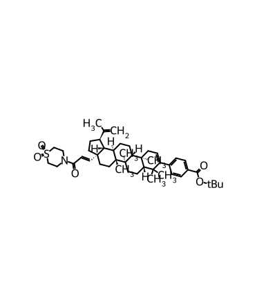 C=C(C)[C@@H]1CC[C@]2(/C=C/C(=O)N3CCS(=O)(=O)CC3)CC[C@]3(C)[C@H](CC[C@@H]4[C@@]5(C)CC=C(c6ccc(C(=O)OC(C)(C)C)cc6)C(C)(C)[C@@H]5CC[C@]43C)[C@@H]12